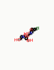 O=C(c1ccc(O)cc1OC[C@@H](O)CN1CCC2(CC1)OCc1cc(Cl)ccc12)N1CCCC(CO)C1